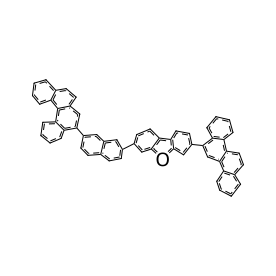 c1ccc2c(c1)ccc1c3ccccc3c(-c3ccc4c(c3)oc3cc(-c5ccc6ccc(-c7cc8ccc9ccccc9c8c8ccccc78)cc6c5)ccc34)cc21